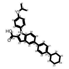 CC(C)Oc1ccc(-n2c(C(=O)O)cc3cc(-c4ccc(C5CCCCC5)cc4)ccc32)cc1